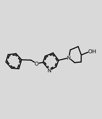 OC1CCN(c2ccc(OCc3ccccc3)nc2)CC1